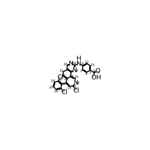 O=C(O)c1ccc(Nc2ncc3c(n2)C2=CN=C(Cl)C=C(c4c(Cl)cccc4Cl)C2=CC3)cc1